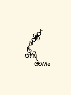 COC(=O)CCCC[C@H]1CCC[C@@H]1C(C#N)(c1ccccc1)C1CCN(CC2CN(c3ccc(S(=O)(=O)c4ccc(F)cc4)cc3)C2)CC1